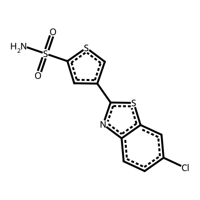 NS(=O)(=O)c1cc(-c2nc3ccc(Cl)cc3s2)cs1